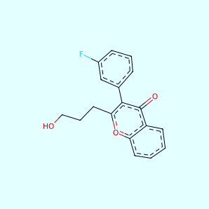 O=c1c(-c2cccc(F)c2)c(CCCO)oc2ccccc12